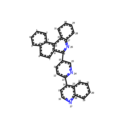 c1ccc2c(c1)ccc1c(-c3ccc(-c4ccnc5ccccc45)nc3)nc3ccccc3c12